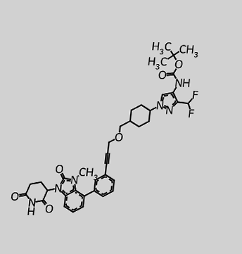 Cn1c(=O)n(C2CCC(=O)NC2=O)c2cccc(-c3cccc(C#CCOCC4CCC(n5cc(NC(=O)OC(C)(C)C)c(C(F)F)n5)CC4)c3)c21